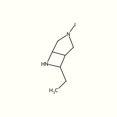 CCC1NC2CN(I)CC12